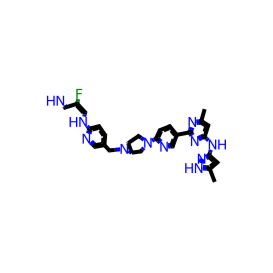 Cc1cc(Nc2cc(C)[nH]n2)nc(-c2ccc(N3CC4C(C3)N4Cc3ccc(N/C=C(/F)C=N)nc3)nc2)n1